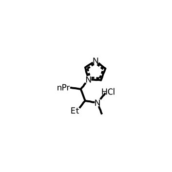 CCCC(C(CC)N(C)C)n1ccnc1.Cl